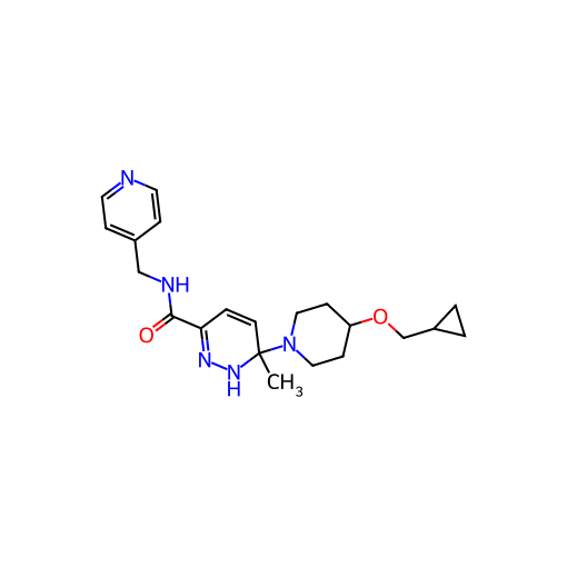 CC1(N2CCC(OCC3CC3)CC2)C=CC(C(=O)NCc2ccncc2)=NN1